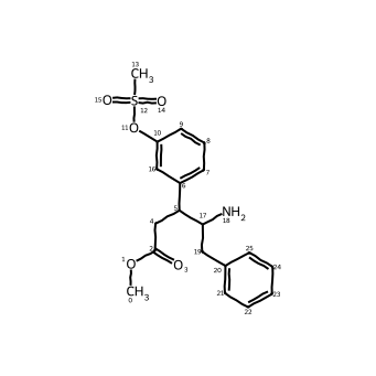 COC(=O)CC(c1cccc(OS(C)(=O)=O)c1)C(N)Cc1ccccc1